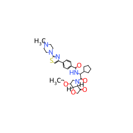 CCO[C@H]1CN(C(=O)[C@@H](NC(=O)c2ccc(-c3csc(N4CCN(C)CC4)n3)cc2)C2CCCC2)[C@@H]2C(=O)CO[C@H]12